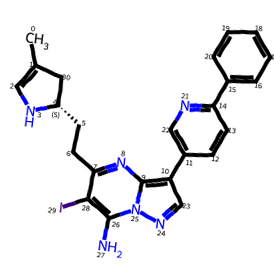 CC1=CN[C@@H](CCc2nc3c(-c4ccc(-c5ccccc5)nc4)cnn3c(N)c2I)C1